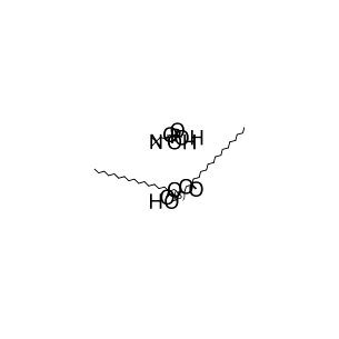 CCCCCCCCCCCCCCCC(=O)OC[C@H](CO)OC(=O)CCCCCCCCCCCCCCC.C[N+](C)(C)CCOP(=O)(O)O